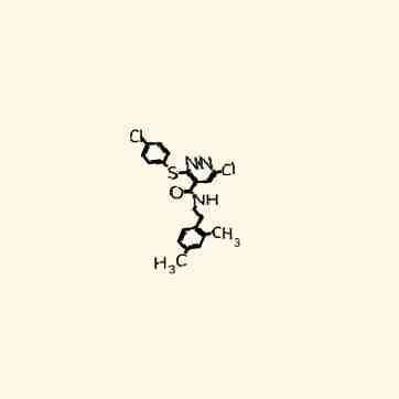 Cc1ccc(CCNC(=O)c2cc(Cl)nnc2Sc2ccc(Cl)cc2)c(C)c1